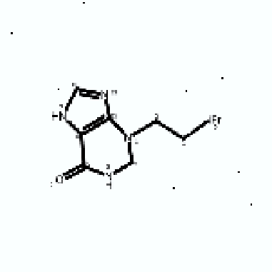 CC(C)CCN1CNC(=O)c2[nH]cnc21